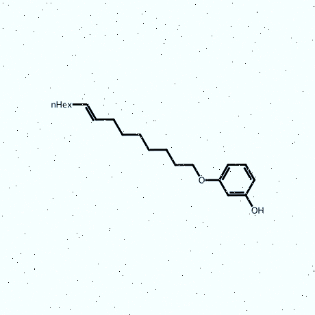 CCCCCCC=CCCCCCCCOc1cccc(O)c1